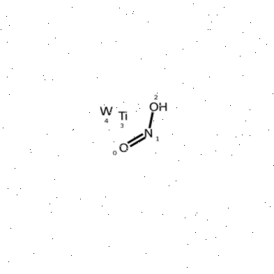 O=NO.[Ti].[W]